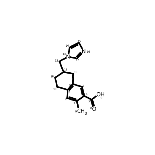 Cc1cc2c(cc1C(=O)O)CC(Cn1ccnc1)CC2